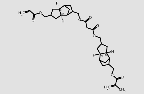 C=CC(=O)OCC1C[C@@H]2C3CC(CC3COC(=O)CC(=O)OCC3C[C@@H]4C5CC(CC5COC(=O)C(=C)C)[C@@H]4C3)[C@@H]2C1